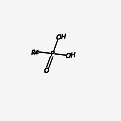 O=[P](O)(O)[Re]